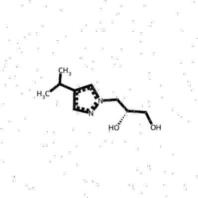 CC(C)c1cnn(C[C@@H](O)CO)c1